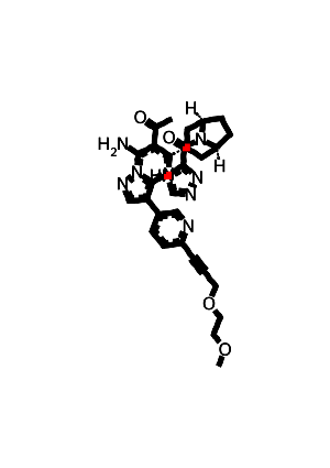 COCCOCC#Cc1ccc(-c2cnn3c(N)c(C(C)=O)c([C@@H]4C[C@H]5CC[C@@H](C4)N5C(=O)c4nnc[nH]4)nc23)cn1